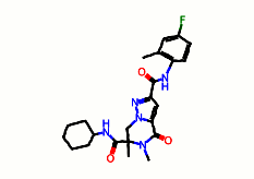 Cc1cc(F)ccc1NC(=O)c1cc2n(n1)CC(C)(C(=O)NC1CCCCC1)N(C)C2=O